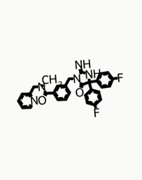 CN(Cc1ccccn1)C(=O)c1cccc(CN2C(=N)NC(c3ccc(F)cc3)(c3ccc(F)cc3)C2=O)c1